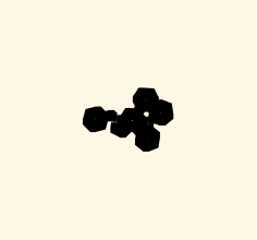 c1ccc(Cn2ccc3c4c5ccccc5n(-c5ccccc5)c4c(-c4ccccc4)cc32)cc1